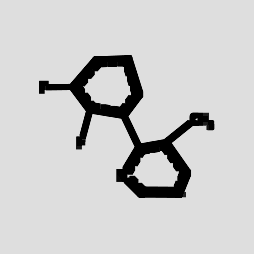 Cc1c[c]cnc1-c1cccc(F)c1F